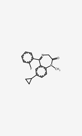 CN1C(=O)CN=C(c2ccccc2F)c2cc(C3CC3)ccc21